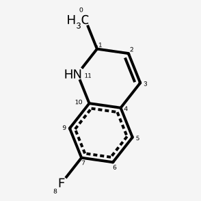 C[C]1C=Cc2ccc(F)cc2N1